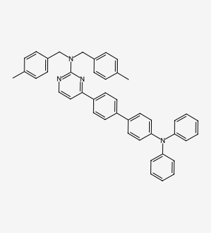 Cc1ccc(CN(Cc2ccc(C)cc2)c2nccc(-c3ccc(-c4ccc(N(c5ccccc5)c5ccccc5)cc4)cc3)n2)cc1